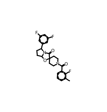 Cc1cccc(C(=O)N2CCC3(CC2)OC2CCC(c4cc(F)cc(F)c4)N2C3=O)c1F